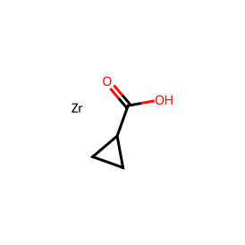 O=C(O)C1CC1.[Zr]